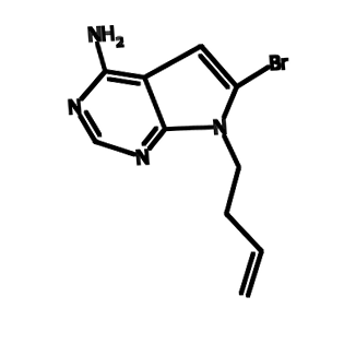 C=CCCn1c(Br)cc2c(N)ncnc21